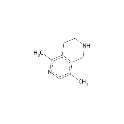 Cc1cnc(C)c2c1CNCC2